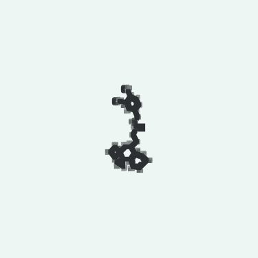 Clc1ccc(CSNCCC2CC3(CCC3)C3(CC3)c3ccccc32)cc1Cl